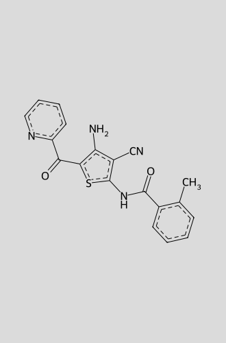 Cc1ccccc1C(=O)Nc1sc(C(=O)c2ccccn2)c(N)c1C#N